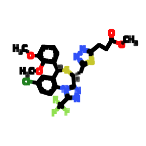 COC(=O)CCc1nnc(C[C@H]2S[C@H](c3cccc(OC)c3OC)c3cc(Cl)ccc3-n3c2nnc3C(F)(F)F)s1